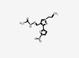 C=CCn1cc(/C=N/NC(C)=O)c(-c2ccc([N+](=O)[O-])o2)n1